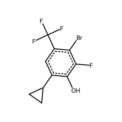 Oc1c(C2CC2)cc(C(F)(F)F)c(Br)c1F